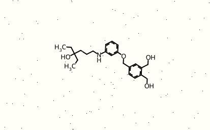 CCC(O)(CC)CCCNc1cccc(OCc2ccc(CO)c(CO)c2)c1